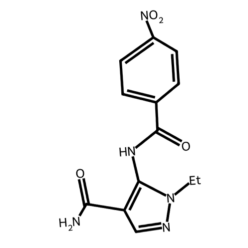 CCn1ncc(C(N)=O)c1NC(=O)c1ccc([N+](=O)[O-])cc1